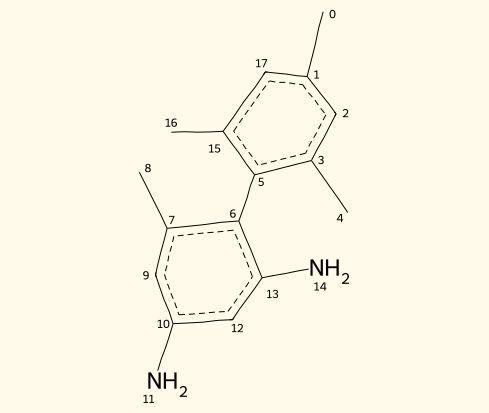 Cc1cc(C)c(-c2c(C)cc(N)cc2N)c(C)c1